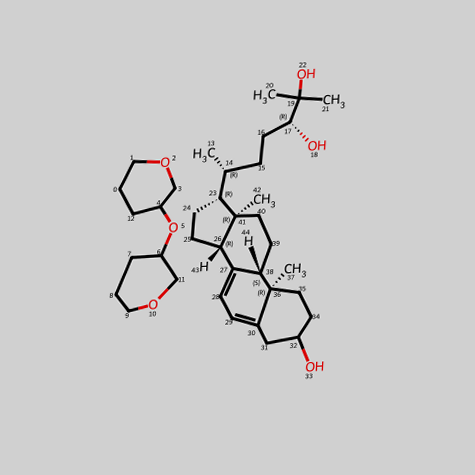 C1COCC(OC2CCCOC2)C1.C[C@H](CC[C@@H](O)C(C)(C)O)[C@H]1CC[C@H]2C3=CC=C4CC(O)CC[C@]4(C)[C@H]3CC[C@]12C